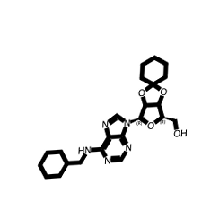 OC[C@H]1O[C@@H](n2cnc3c(NCC4CCCCC4)ncnc32)C2OC3(CCCCC3)OC21